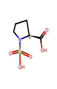 O=C(O)[C@@H]1CCCN1S(=O)(=O)O